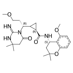 COCC[C@H](C1C[C@H]1C(=O)N[C@H]1CC(C)(C)Oc2cccc(OC)c21)N1C(=N)NC(C)(C)CC1=O